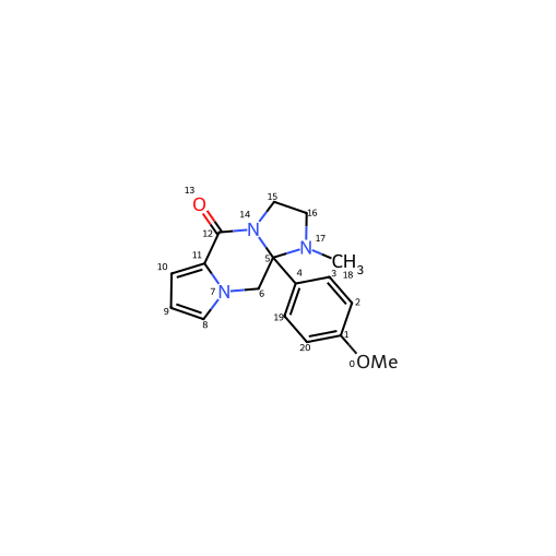 COc1ccc(C23Cn4cccc4C(=O)N2CCN3C)cc1